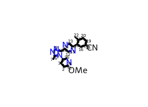 COc1ccc(-n2c(C)nnc2-c2cnc(-c3cc(C#N)ccc3C)cn2)cn1